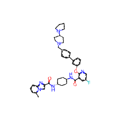 Cc1cccc2nc(C(=O)N[C@H]3CC[C@H](NC(=O)c4cc(F)cnc4Oc4cccc(-c5ccc(CN6CCC(N7CCCC7)CC6)cc5)c4)CC3)cn12